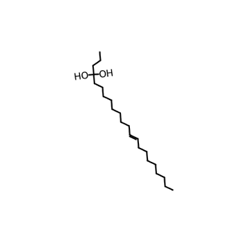 CCCCCCCCC=CCCCCCCCCC(O)(O)CCC